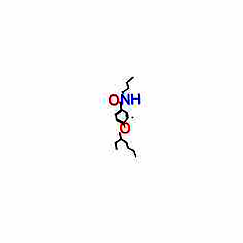 CCCCNC(=O)c1c[c]c(OCC(CC)CCCC)cc1